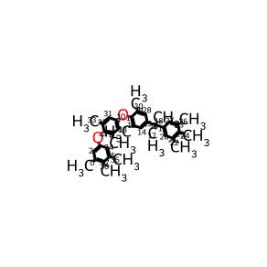 Cc1cc(Oc2c(C)cc(Oc3c(C)cc(C(C)(C)c4cc(C)c(C)c(C)c4)cc3C)cc2C)cc(C)c1C